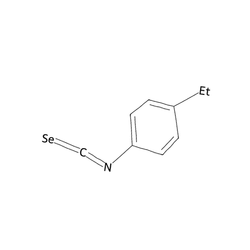 CCc1ccc(N=C=[Se])cc1